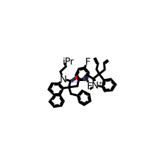 C=CCC1(CC=C)C(/C=C/C=C2/N(CCC(C)C)c3ccc4ccccc4c3C2(Cc2ccccc2)Cc2ccc(F)cc2F)=[N+](C)c2ccccc21